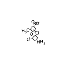 Cc1cc([N+](=O)[O-])cnc1Oc1c(Cl)cc(N)cc1Cl